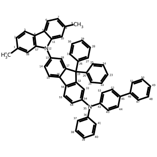 Cc1ccc2c3ccc(C)cc3n(-c3ccc4c(c3)C(c3ccccc3)(c3ccccc3)c3cc(N(c5ccccc5)c5ccc(-c6ccccc6)cc5)ccc3-4)c2c1